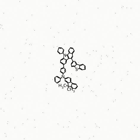 CC1(C)c2ccccc2-c2ccc(N(c3ccccc3)c3ccc(-c4ccc5c(c4)c4c(-c6ccc7sc8ccccc8c7c6)cc6ccccc6c4n5-c4ccccc4)cc3)cc21